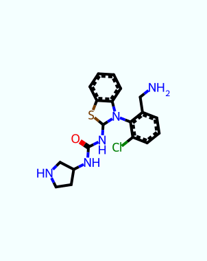 NCc1cccc(Cl)c1N1c2ccccc2SC1NC(=O)NC1CCNC1